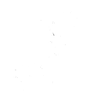 O=C(Nc1nc([C@H]2CCCN2c2ccccc2)cs1)c1cc(F)cn1Cc1ccnc(F)c1